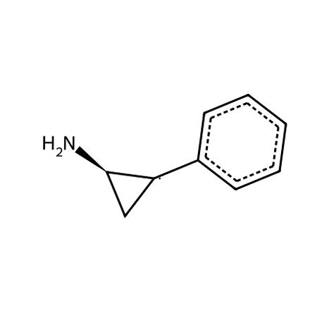 N[C@@H]1C[C]1c1ccccc1